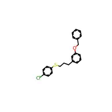 Clc1ccc(SCCCc2cccc(OCc3ccccc3)c2)cc1